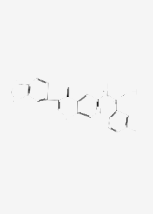 C[C@H](Nc1cc2c(=O)c(-c3ccc4c(c3)OCO4)coc2cn1)c1cccc(F)c1